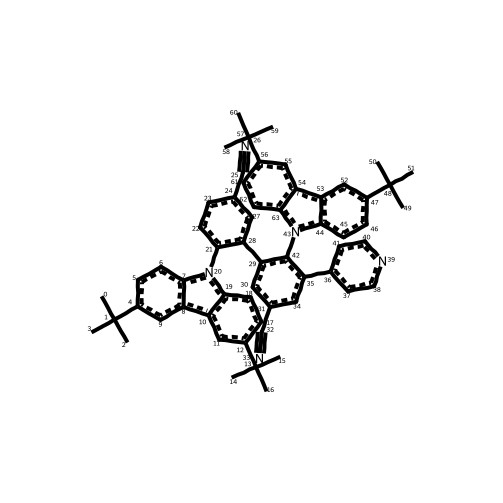 CC(C)(C)c1ccc2c(c1)c1cc(C(C)(C)C)ccc1n2-c1ccc(C#N)cc1-c1cc(C#N)cc(-c2ccncc2)c1-n1c2ccc(C(C)(C)C)cc2c2cc(C(C)(C)C)ccc21